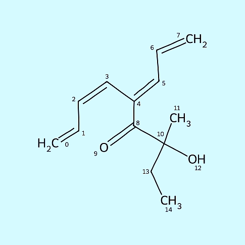 C=C/C=C\C(=C/C=C)C(=O)C(C)(O)CC